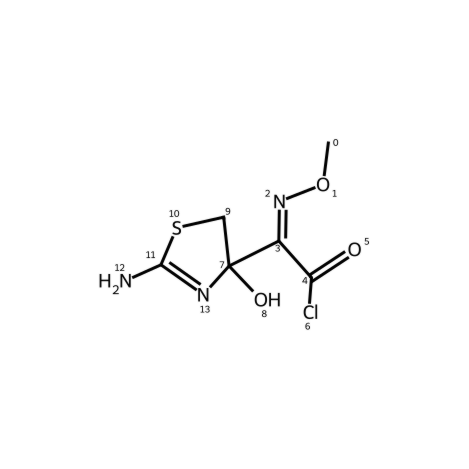 CON=C(C(=O)Cl)C1(O)CSC(N)=N1